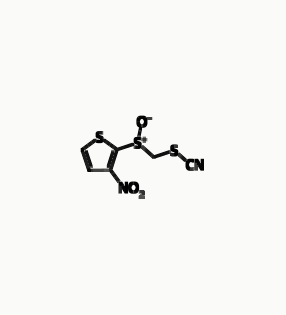 N#CSC[S+]([O-])c1sccc1[N+](=O)[O-]